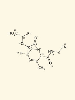 CC1=C[C@@H]2CN(C(=O)N2O[C@@H](F)C(=O)O)[C@@H]1C(=O)NCC#N